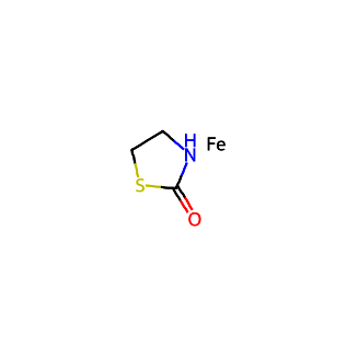 O=C1NCCS1.[Fe]